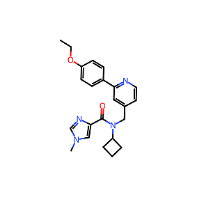 CCOc1ccc(-c2cc(CN(C(=O)c3cn(C)cn3)C3CCC3)ccn2)cc1